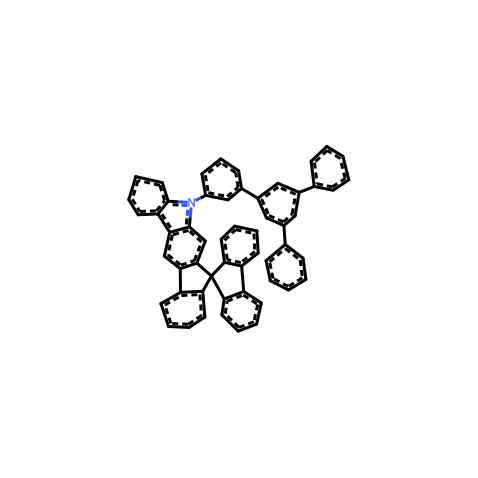 c1ccc(-c2cc(-c3ccccc3)cc(-c3cccc(-n4c5ccccc5c5cc6c(cc54)C4(c5ccccc5-c5ccccc54)c4ccccc4-6)c3)c2)cc1